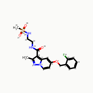 Cc1nn2ccc(OCc3ccccc3F)cc2c1C(=O)NCCNS(C)(=O)=O